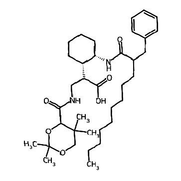 CCCCCCCCCC(Cc1ccccc1)C(=O)N[C@H]1CCCC[C@H]1C(CNC(=O)C1OC(C)(C)OCC1(C)C)C(=O)O